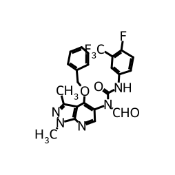 Cc1nn(C)c2ncc(N(C=O)C(=O)Nc3ccc(F)c(C(F)(F)F)c3)c(OCc3ccccc3)c12